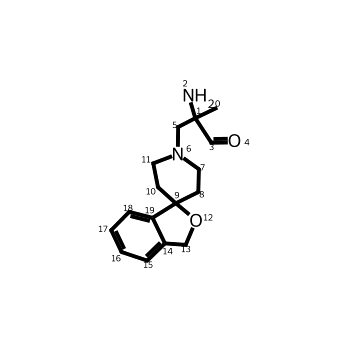 CC(N)(C=O)CN1CCC2(CC1)OCc1ccccc12